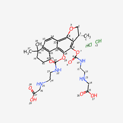 C[C@H]1COc2c1c(OC(=O)NCCNCC(=O)O)c(OC(=O)NCCNCC(=O)O)c1c3c(ccc21)C(C)(C)CCC3.Cl.Cl